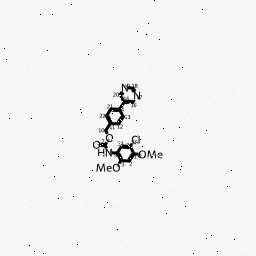 COc1cc(OC)c(NC(=O)OCc2ccc(-c3cncnc3)cc2)cc1Cl